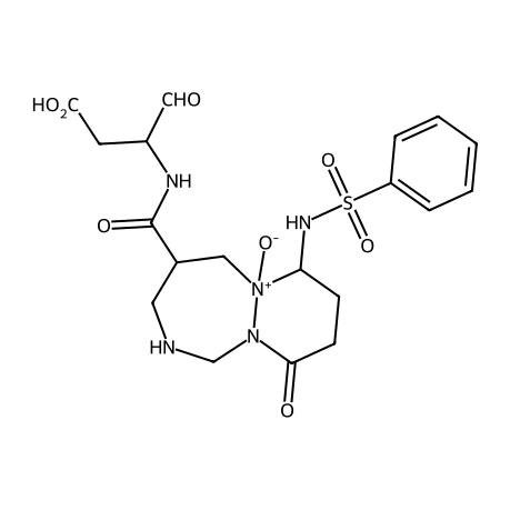 O=CC(CC(=O)O)NC(=O)C1CNCN2C(=O)CCC(NS(=O)(=O)c3ccccc3)[N+]2([O-])C1